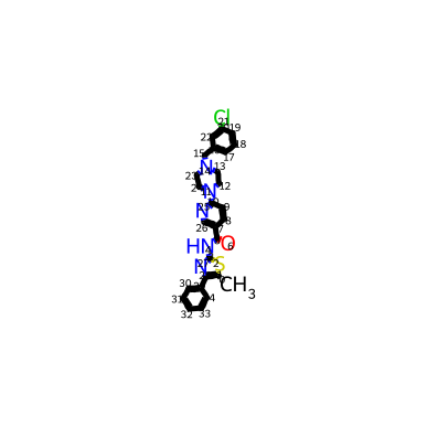 Cc1sc(NC(=O)c2ccc(N3CCN(Cc4cccc(Cl)c4)CC3)nc2)nc1-c1ccccc1